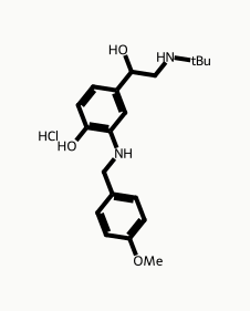 COc1ccc(CNc2cc(C(O)CNC(C)(C)C)ccc2O)cc1.Cl